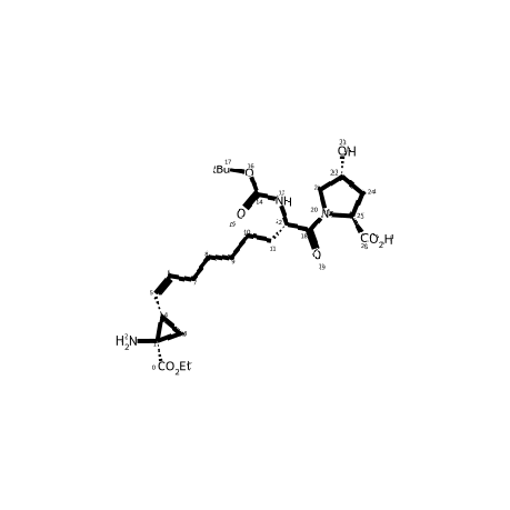 CCOC(=O)[C@@]1(N)C[C@H]1/C=C\CCCCC[C@H](NC(=O)OC(C)(C)C)C(=O)N1C[C@H](O)C[C@H]1C(=O)O